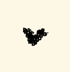 [Ca+2].[O]=[Mn](=[O])([O-])[O-].[O]=[Mn](=[O])([O-])[O-].[O]=[Mn](=[O])([O-])[O-].[O]=[Mn](=[O])([O-])[O-].[Pr+3].[Pr+3]